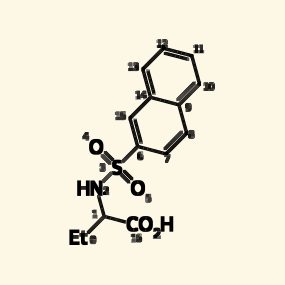 CCC(NS(=O)(=O)c1ccc2ccccc2c1)C(=O)O